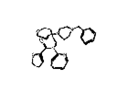 O=C(C1=CCCS1)N(CC1(N2CCN(Cc3ccccc3)CC2)CCOCC1)c1ccccn1